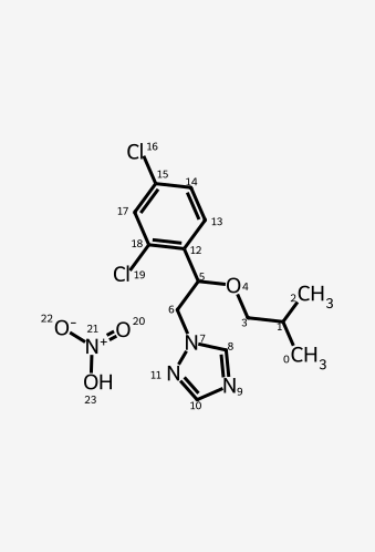 CC(C)COC(Cn1cncn1)c1ccc(Cl)cc1Cl.O=[N+]([O-])O